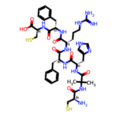 CC(C)(NC(=O)[C@@H](N)CS)C(=O)N[C@@H](Cc1c[nH]cn1)C(=O)N[C@H](Cc1ccccc1)C(=O)N[C@@H](CCCNC(=N)N)C(=O)N[C@@H](Cc1ccccc1)C(=O)N[C@@H](CS)C(=O)O